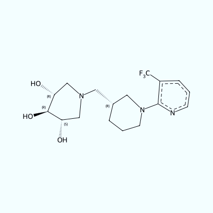 O[C@H]1[C@H](O)CN(C[C@H]2CCCN(c3ncccc3C(F)(F)F)C2)C[C@@H]1O